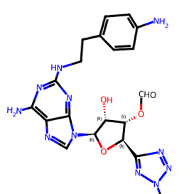 CCn1nnc([C@H]2O[C@@H](n3cnc4c(N)nc(NCCc5ccc(N)cc5)nc43)[C@H](O)[C@@H]2OC=O)n1